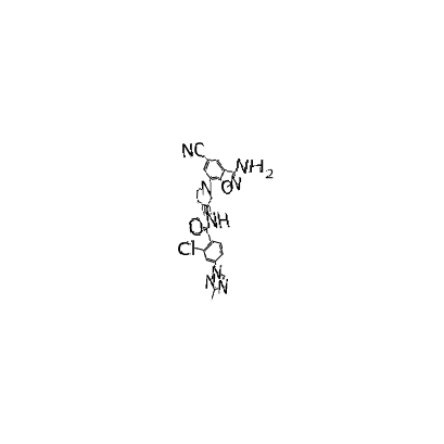 Cc1ncn(-c2ccc(C(=O)N[C@@H]3CCN(c4cc(C#N)cc5c(N)noc45)C3)c(Cl)c2)n1